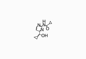 O=C(Nc1nccc(C(O)=C2CC2)n1)C1CC1